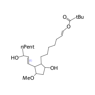 CCCCCC(O)/C=C/C1C(OC)CC(O)C1CCCCCC=COC(=O)C(C)(C)C